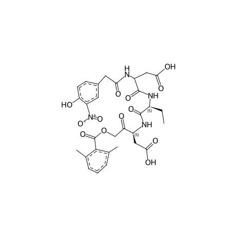 CC[C@H](NC(=O)C(CC(=O)O)NC(=O)Cc1ccc(O)c([N+](=O)[O-])c1)C(=O)N[C@@H](CC(=O)O)C(=O)COC(=O)c1c(C)cccc1C